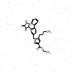 CCCCc1cc(C(=O)OCC)nn1Cc1ccc(-c2ccccc2)c(C2NNC(=O)C2=O)c1